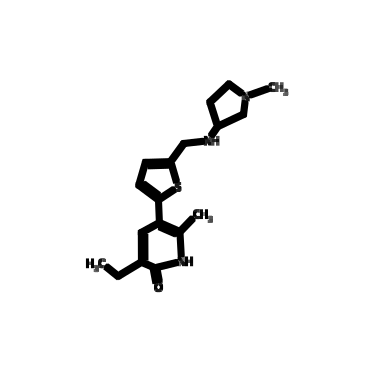 CCc1cc(-c2ccc(CNC3CCN(C)C3)s2)c(C)[nH]c1=O